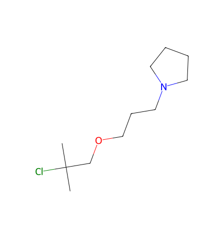 CC(C)(Cl)COCCCN1CCCC1